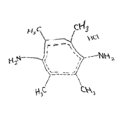 Cc1c(C)c(N)c(C)c(C)c1N.Cl